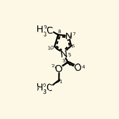 CCOC(=O)n1cnc(C)c1